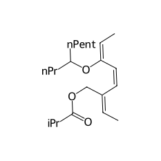 C\C=C(/C=C\C(=C/C)OC(CCC)CCCCC)COC(=O)C(C)C